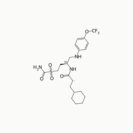 NC(=O)S(=O)(=O)CC[C@@H](CNc1ccc(OC(F)(F)F)cc1)NC(=O)[CH]CC1CCCCC1